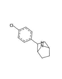 Clc1ccc(C2CC3CCC2N3)cc1